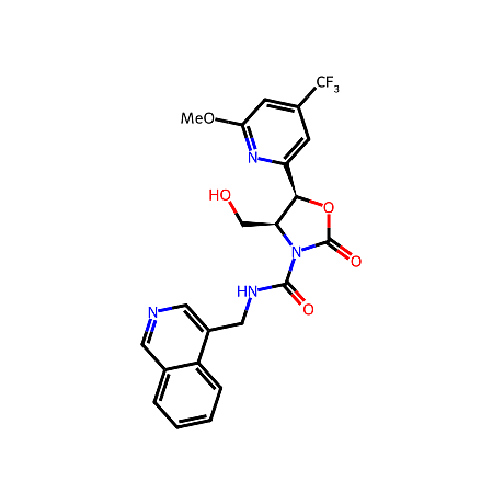 COc1cc(C(F)(F)F)cc([C@H]2OC(=O)N(C(=O)NCc3cncc4ccccc34)[C@H]2CO)n1